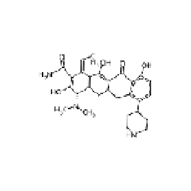 C/C=C1/C(C(N)=O)=C(O)[C@@H](N(C)C)C2CC3Cc4c(C5CCNCC5)ccc(O)c4C(=O)C3=C(O)C12